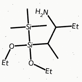 CCO[Si](OCC)(C(C)C(N)CC)[Si](C)(C)C